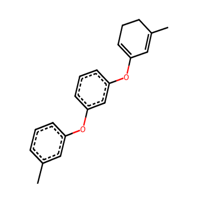 CC1=CC(Oc2cccc(Oc3cccc(C)c3)c2)=CCC1